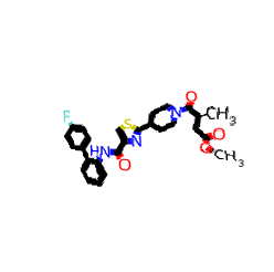 COC(=O)C[C@@H](C)C(=O)N1CCC(c2nc(C(=O)Nc3ccccc3-c3ccc(F)cc3)cs2)CC1